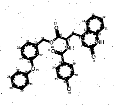 O=C(NC(Cc1cc(=O)[nH]c2ccccc12)C(=O)OCc1cccc(Oc2ccccc2)c1)c1ccc(Cl)cc1